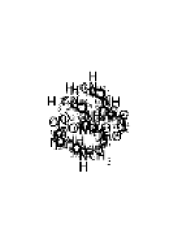 COC[C@H]1CCCN1C(=O)c1cc2nccc(Nc3ccc4[nH]c(C)cc4c3)c2s1.Cc1cc2cc(Nc3ccnc4cc(C(=O)N5CCC(O)C5)sc34)ccc2[nH]1.Cc1cc2cc(Nc3ccnc4cc(C(=O)N5CCC(O)C5)sc34)ccc2[nH]1